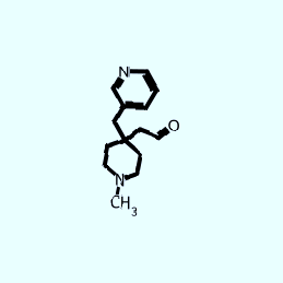 CN1CCC(CC=O)(Cc2cccnc2)CC1